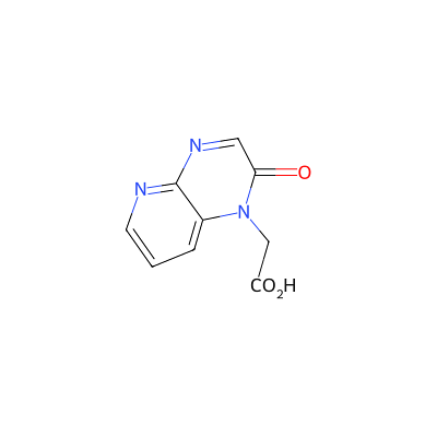 O=C(O)Cn1c(=O)cnc2ncccc21